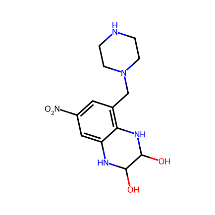 O=[N+]([O-])c1cc(CN2CCNCC2)c2c(c1)NC(O)C(O)N2